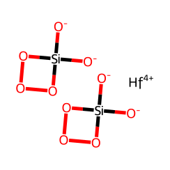 [Hf+4].[O-][Si]1([O-])OOO1.[O-][Si]1([O-])OOO1